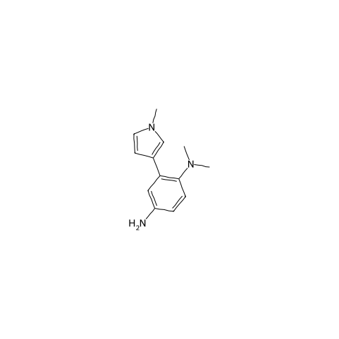 CN(C)c1ccc(N)cc1-c1ccn(C)c1